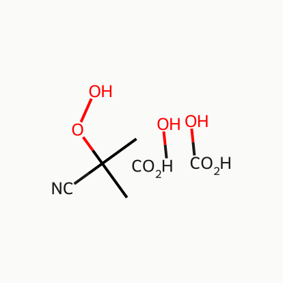 CC(C)(C#N)OO.O=C(O)O.O=C(O)O